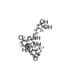 CC(C)(C)C[C@H]1N[C@@H](C(=O)NCCCC2C[C@@H](O)[C@H](O)C2)[C@H](c2cccc(Cl)c2)[C@@]12C(=O)Nc1cc(Cl)c(F)cc12